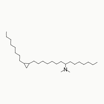 CCCCCCCCC1CC1CCCCCCCC(CCCCCCC)N(C)C